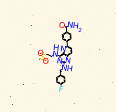 CS(=O)(=O)CCNc1nc(NCc2ccc(F)cc2)nc2ccc(-c3ccc(C(N)=O)cc3)nc12